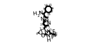 COC[C@H](c1cnn2cc([C@@H](N)C3CCCCCC3)nc2c1)N1CC(C(F)(F)F)NC1=O